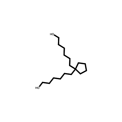 OCCCCCCC1(CCCCCCO)CCCC1